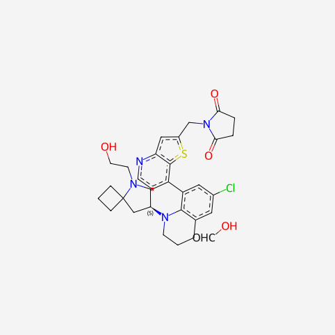 O=C1CCC(=O)N1Cc1cc2nccc(-c3cc(Cl)cc4c3N([C@@H]3CN(CCO)C5(CCC5)C3)CCC4)c2s1.O=CO